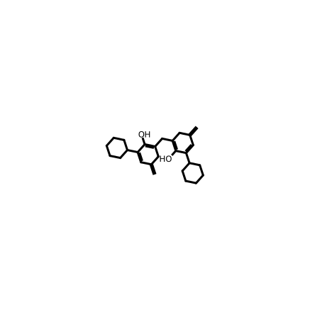 C=C1C=C(C2CCCCC2)C(O)=C(CC2=C(O)C(C3CCCCC3)=CC(=C)C2)C1